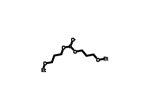 CCOCCCOB([O])OCCCOCC